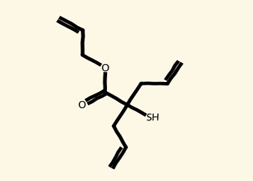 C=CCOC(=O)C(S)(CC=C)CC=C